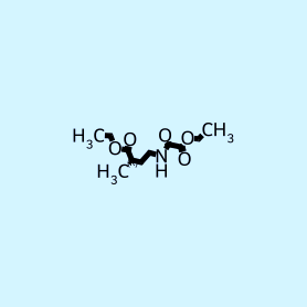 CCOC(=O)C(=O)NCC[C@@H](C)C(=O)OCC